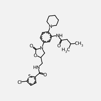 CC(C)CC(=O)Nc1cc(N2CC(CNC(=O)c3ccc(Cl)s3)OC2=O)ccc1N1CCCCC1